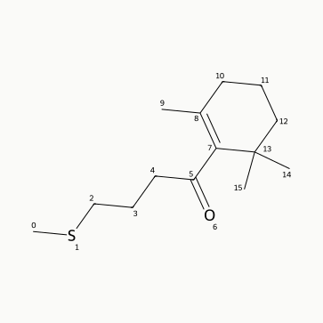 CSCCCC(=O)C1=C(C)CCCC1(C)C